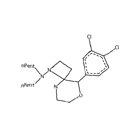 CCCCCN(CCCCC)N1CCC12[N]CCOC2c1ccc(Cl)c(Cl)c1